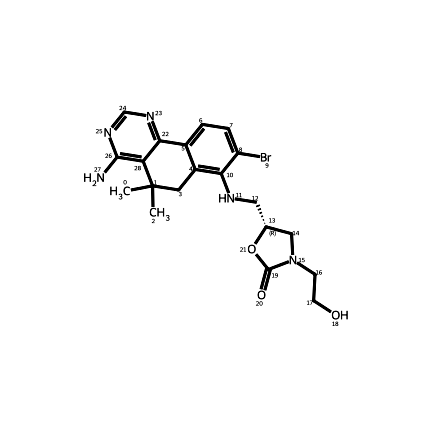 CC1(C)Cc2c(ccc(Br)c2NC[C@@H]2CN(CCO)C(=O)O2)-c2ncnc(N)c21